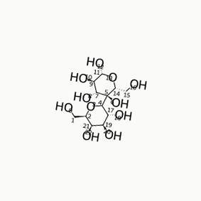 OC[C@H]1OC([C@]2(O)[C@H](O)[C@@H](O)[C@H](O)O[C@@H]2CO)[C@H](O)[C@@H](O)[C@H]1O